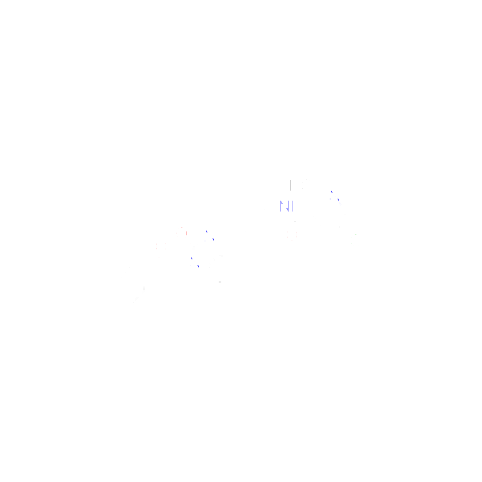 Cc1ncc(Cl)cc1C(=O)NC1CCC(Cn2c(=O)n(CC(=O)c3ccccc3)c3ccccc32)CC1